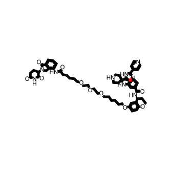 O=C1CCC(N2Cc3c(NC(=O)CCCCCOCCOCCOCCCCCCOc4ccc5c(c4)[C@@H](NC(=O)c4cccc(NC6(c7nnc(-c8ccncc8)[nH]7)CCNCC6)c4)CCO5)cccc3C2=O)C(=O)N1